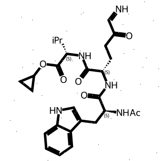 CC(=O)N[C@@H](Cc1c[nH]c2ccccc12)C(=O)N[C@@H](CCC(=O)C=N)C(=O)N[C@H](C(=O)OC1CC1)C(C)C